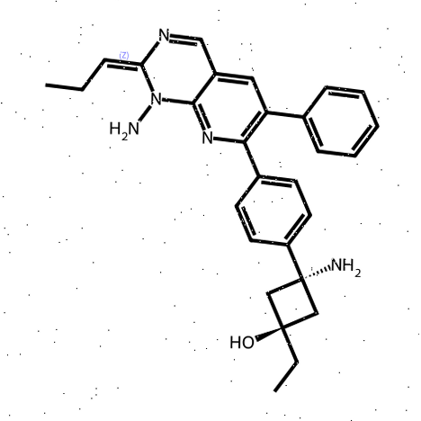 CC/C=C1/N=Cc2cc(-c3ccccc3)c(-c3ccc([C@]4(N)C[C@@](O)(CC)C4)cc3)nc2N1N